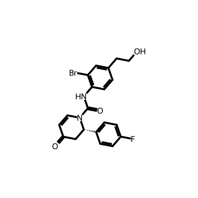 O=C1C=CN(C(=O)Nc2ccc(CCO)cc2Br)[C@H](c2ccc(F)cc2)C1